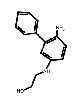 Nc1ccc(NCCO)cc1-c1ccccc1